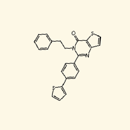 O=c1c2sccc2nc(-c2ccc(-c3cccs3)cc2)n1CCc1ccccc1